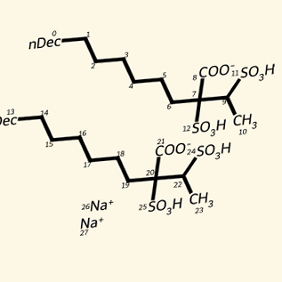 CCCCCCCCCCCCCCCCC(C(=O)[O-])(C(C)S(=O)(=O)O)S(=O)(=O)O.CCCCCCCCCCCCCCCCC(C(=O)[O-])(C(C)S(=O)(=O)O)S(=O)(=O)O.[Na+].[Na+]